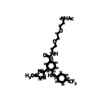 CC(=O)NCCOCCOCCNC(=O)c1ccc(Nc2ccc(C(F)(F)F)cc2)c(-c2nnn(C)n2)c1